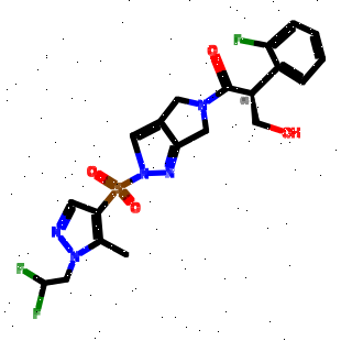 Cc1c(S(=O)(=O)n2cc3c(n2)CN(C(=O)[C@H](CO)c2ccccc2F)C3)cnn1CC(F)F